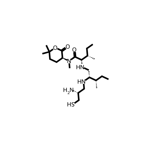 CC[C@H](C)[C@H](NC[C@@H](NC[C@@H](N)CS)[C@@H](C)CC)C(=O)N(C)[C@H]1CCC(C)(C)OC1=O